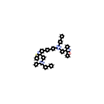 c1ccc(-c2ccc(-c3nc(-c4ccc(-c5ccc(-c6ccc7nc8sc9ccccc9c8c(-c8cccc(-c9nc(-c%10ccccc%10)cc(-c%10cccc(-c%11ccccc%11)c%10)n9)c8)c7c6)cc5)cc4)nc(-c4cccc(-c5c6ccccc6nc6oc7ccccc7c56)c4)n3)cc2)cc1